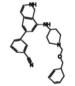 N#Cc1cccc(-c2cc3c(c(NC4CCN(COCC5C=CC=CC5)CC4)c2)CNC=C3)c1